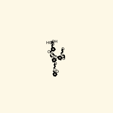 COCCCN1CCOc2ccc(OC[C@H]3CN(C(=O)c4cccc(CON(O)O)c4)CCN3c3ccc(OCCCOCc4ccccc4OC)cc3)cc21